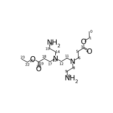 CCOC(=O)CCN(CCN)CCN(CCN)CCC(=O)OCC